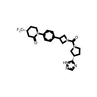 O=C(N1CC(c2ccc(N3CC[C@@H](C(F)(F)F)CC3=O)cc2)C1)N1CC[C@H](c2ncn[nH]2)C1